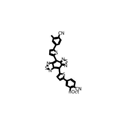 CCCCCCCCc1cc(-c2ccc(-c3c4c(c(-c5ccc(-c6ccc(C#N)c(C)c6)s5)c5nsnc35)N=S=N4)s2)ccc1C#N